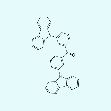 O=C(c1cccc(-n2c3ccccc3c3ccccc32)c1)c1cccc(-n2c3ccccc3c3ccccc32)c1